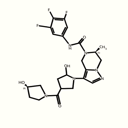 C[C@H]1Cn2ncc(N3CC(C(=O)N4CC[C@@H](O)C4)CC3O)c2CN1C(=O)Nc1cc(F)c(F)c(F)c1